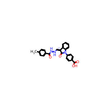 Cc1ccc(C(=O)NN/C=C2\C(=O)N(c3ccc(C(=O)O)cc3)c3ccccc32)cc1